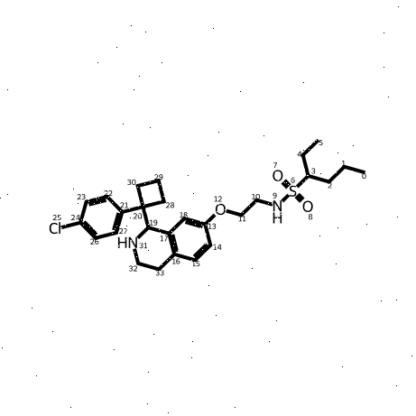 CCCC(CC)S(=O)(=O)NCCOc1ccc2c(c1)C(C1(c3ccc(Cl)cc3)CCC1)NCC2